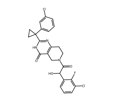 O=C(C(O)c1cccc(Cl)c1F)N1CCc2nc(C3(c4cccc(Cl)c4)CC3)[nH]c(=O)c2C1